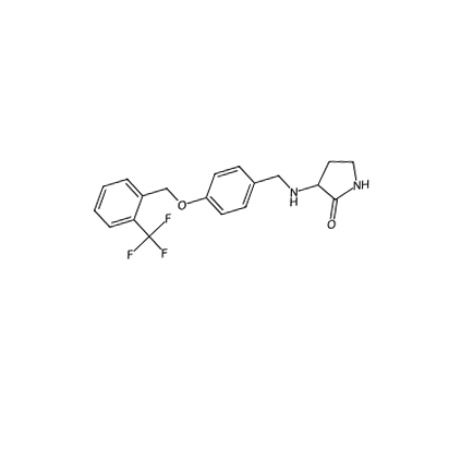 O=C1NCCC1NCc1ccc(OCc2ccccc2C(F)(F)F)cc1